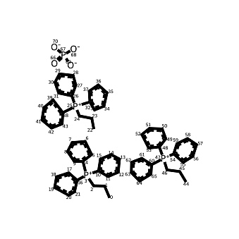 CCC[P+](c1ccccc1)(c1ccccc1)c1ccccc1.CCC[P+](c1ccccc1)(c1ccccc1)c1ccccc1.CCC[P+](c1ccccc1)(c1ccccc1)c1ccccc1.O=P([O-])([O-])[O-]